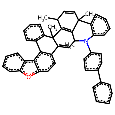 CC1C=CC2(C)C3=C1C1(C)C(=CC3(C)N(c3ccc(-c4ccccc4)cc3)c3ccccc32)c2ccc3oc4ccccc4c3c2-c2ccccc21